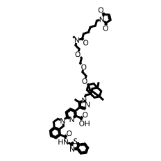 Cc1c(-c2ccc(N3CCc4cccc(C(=O)Nc5nc6ccccc6s5)c4C3)nc2C(=O)O)cnn1CC12CC3(C)CC(C)(C1)CC(OCCOCCOCCN(C)C(=O)CCCCCN1C(=O)C=CC1=O)(C3)C2